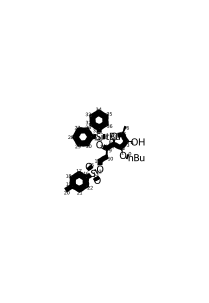 CCCCO[C@H]1[C@@H](O)[C@H](C)O[C@@H]1[C@@H](CCOS(=O)(=O)c1ccc(C)cc1)O[Si](c1ccccc1)(c1ccccc1)C(C)(C)C